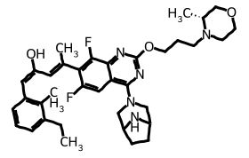 CCc1cccc(/C=C(O)\C=C(/C)c2c(F)cc3c(N4CC5CCC(C4)N5)nc(OCCCN4CCOC[C@H]4C)nc3c2F)c1C